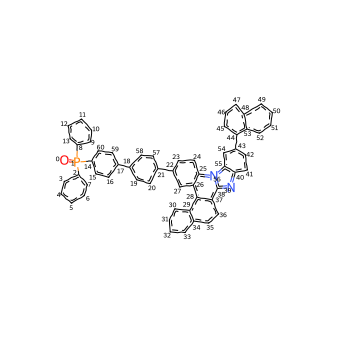 O=P(c1ccccc1)(c1ccccc1)c1ccc(-c2ccc(-c3ccc4c(c3)c3c5ccccc5ccc3c3nc5ccc(-c6cccc7ccccc67)cc5n43)cc2)cc1